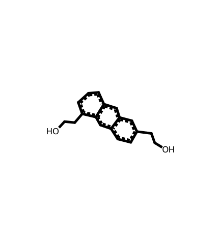 OCCc1ccc2cc3c(CCO)cccc3cc2c1